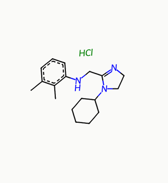 Cc1cccc(NCC2=NCCN2C2CCCCC2)c1C.Cl